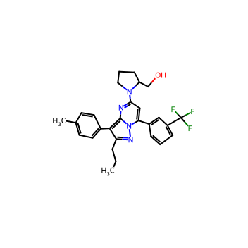 CCCc1nn2c(-c3cccc(C(F)(F)F)c3)cc(N3CCCC3CO)nc2c1-c1ccc(C)cc1